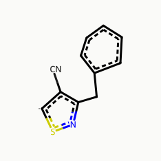 N#Cc1[c]snc1Cc1ccccc1